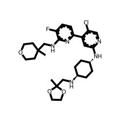 CC1(CNc2nc(-c3cc(N[C@H]4CC[C@H](NCC5(C)OCCO5)CC4)ncc3Cl)ccc2F)CCOCC1